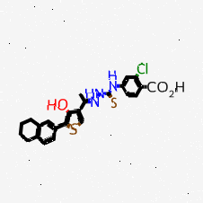 C/C(=N\NC(=S)Nc1ccc(C(=O)O)c(Cl)c1)c1csc(-c2ccc3c(c2)CCCC3)c1O